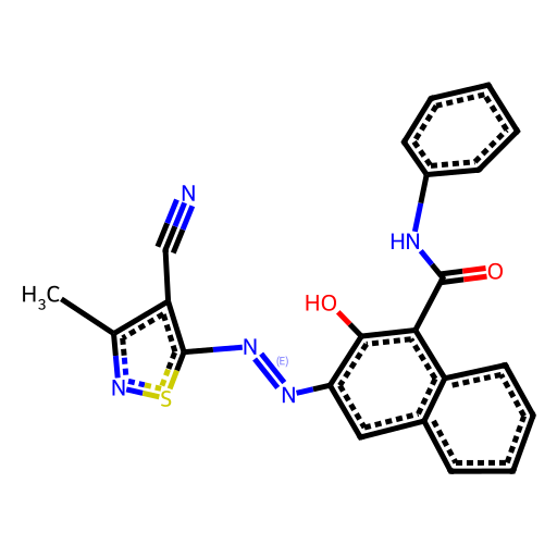 Cc1nsc(/N=N/c2cc3ccccc3c(C(=O)Nc3ccccc3)c2O)c1C#N